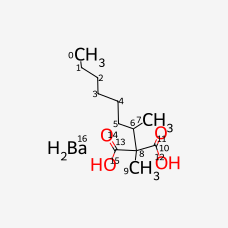 CCCCCCC(C)C(C)(C(=O)O)C(=O)O.[BaH2]